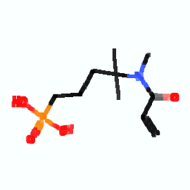 C=CC(=O)N(C)C(C)(C)CCCP(=O)(O)O